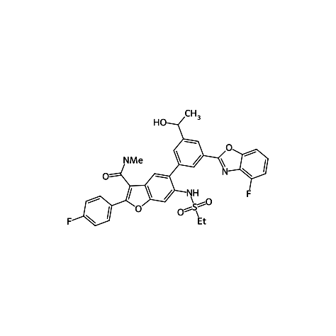 CCS(=O)(=O)Nc1cc2oc(-c3ccc(F)cc3)c(C(=O)NC)c2cc1-c1cc(-c2nc3c(F)cccc3o2)cc(C(C)O)c1